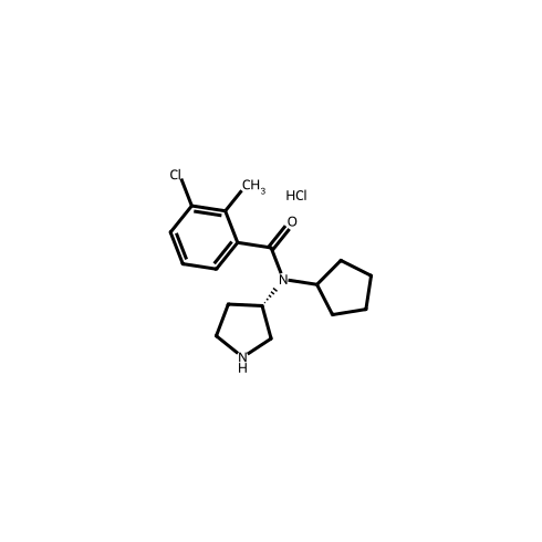 Cc1c(Cl)cccc1C(=O)N(C1CCCC1)[C@H]1CCNC1.Cl